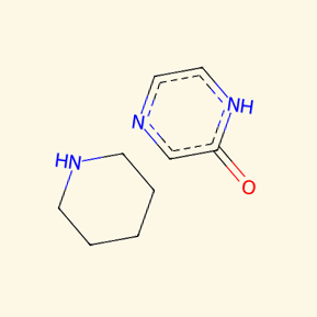 C1CCNCC1.O=c1cncc[nH]1